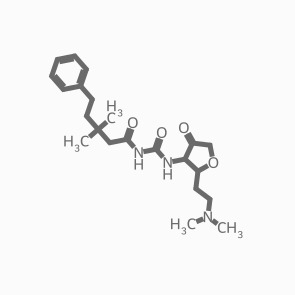 CN(C)CCC1OCC(=O)C1NC(=O)NC(=O)CC(C)(C)CCc1ccccc1